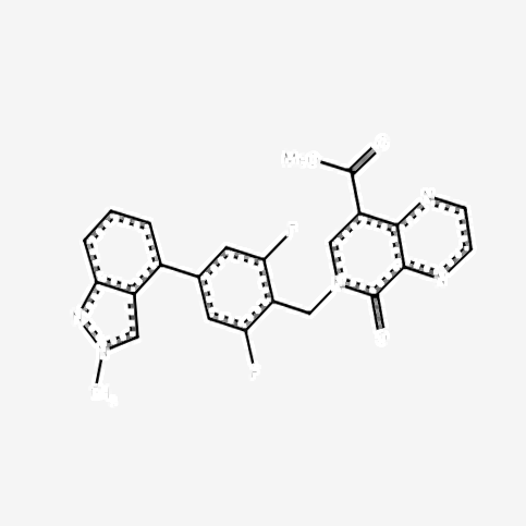 COC(=O)c1cn(Cc2c(F)cc(-c3cccc4nn(C)cc34)cc2F)c(=O)c2nccnc12